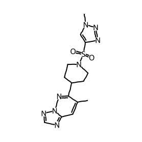 Cc1cc2ncnn2nc1C1CCN(S(=O)(=O)c2cn(C)nn2)CC1